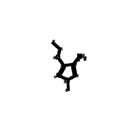 CCOc1nn(C)cc1N